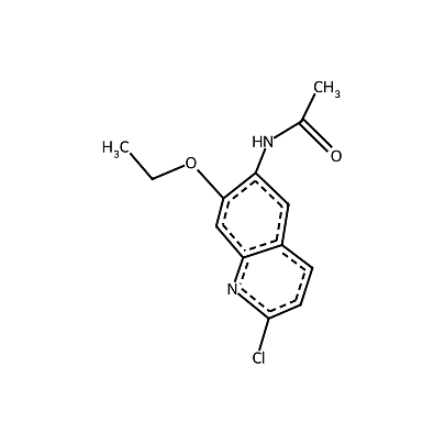 CCOc1cc2nc(Cl)ccc2cc1NC(C)=O